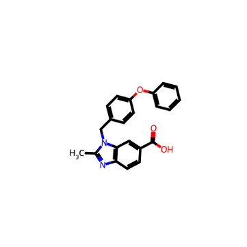 Cc1nc2ccc(C(=O)O)cc2n1Cc1ccc(Oc2ccccc2)cc1